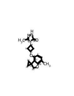 Cc1ccc(O[C@H]2C[C@@H](n3c(C)n[nH]c3=O)C2)c2c1OCC21CC1